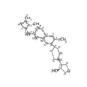 Cc1cc2cnc(Nc3cnn(C)c3C)nc2cc1C1CCN(C2COCC2O)CC1